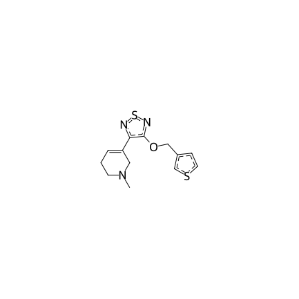 CN1CCC=C(c2nsnc2OCc2ccsc2)C1